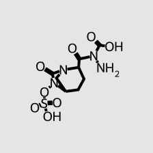 NN(C(=O)O)C(=O)C1CCC2CN1C(=O)N2OS(=O)(=O)O